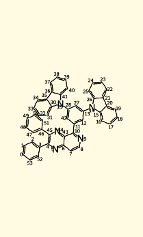 c1ccc(-c2nc3ccnc(-c4cc(-n5c6ccccc6c6ccccc65)cc(-n5c6ccccc6c6ccccc65)c4)c3nc2-c2ccccc2)cc1